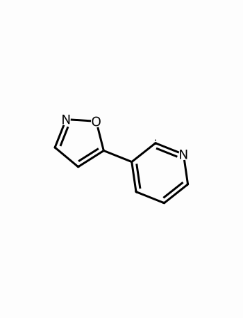 [c]1ncccc1-c1ccno1